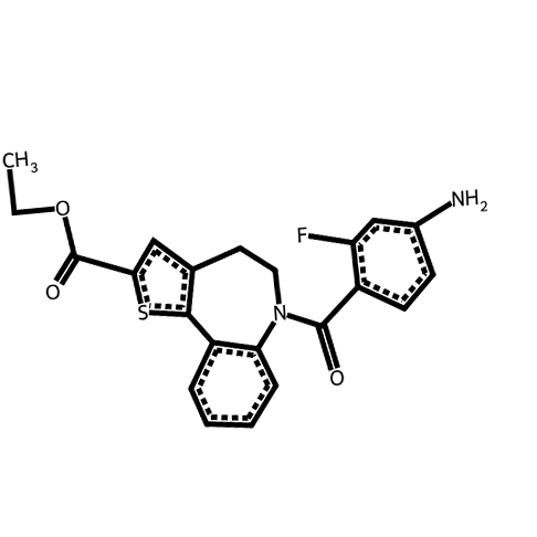 CCOC(=O)c1cc2c(s1)-c1ccccc1N(C(=O)c1ccc(N)cc1F)CC2